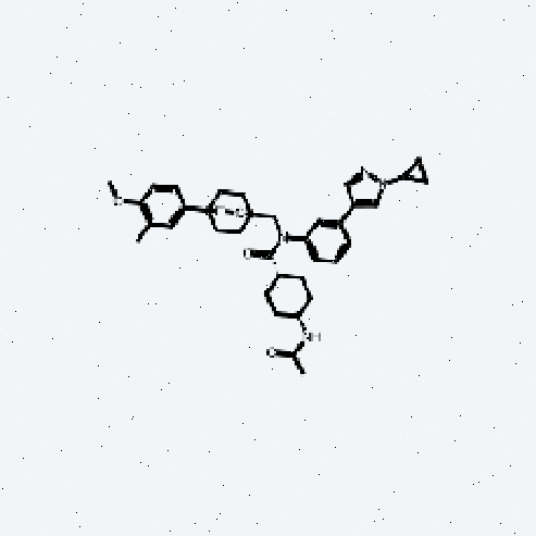 COc1ccc(C23CCC(CN(c4cccc(-c5cnn(C6CC6)c5)c4)C(=O)[C@H]4CC[C@H](NC(C)=O)CC4)(CC2)CC3)cc1C